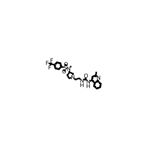 Cc1cc(NC(=O)NCCN2CCC(N(C)S(=O)(=O)c3ccc(C(F)(F)F)cc3)C2)c2ccccc2n1